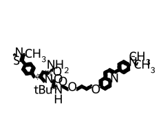 Cc1ncsc1-c1ccc(C[C@@H]2C[C@@H](C(N)=O)N(C(=O)[C@@H](NC(=O)COCCCCOc3ccc4nc(-c5ccc(N(C)C)cc5)ccc4c3)C(C)(C)C)C2)cc1